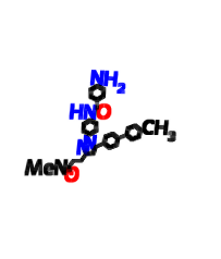 CNC(=O)CCc1cc(-c2ccc(-c3ccc(C)cc3)cc2)n(-c2ccc(NC(=O)c3ccc(N)cc3)cc2)n1